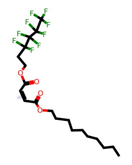 CCCCCCCCCCOC(=O)/C=C\C(=O)OCCC(F)(F)C(F)(F)C(F)(F)C(F)(F)F